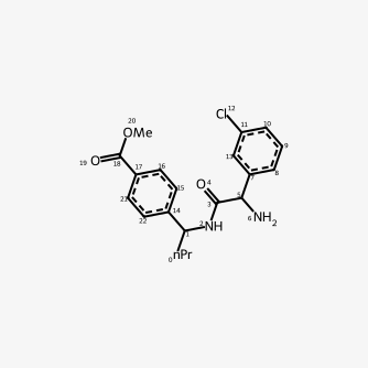 CCCC(NC(=O)C(N)c1cccc(Cl)c1)c1ccc(C(=O)OC)cc1